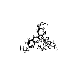 COc1cnc2c(c1)c(Cc1ccc(N)nc1C)cn2C(=O)OC(C)(C)C